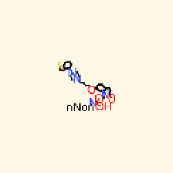 CCCCCCCCCN(C)C(O)OCn1c(=O)ccc2ccc(OCCCCN3CCN(c4cccc5sccc45)CC3)cc21